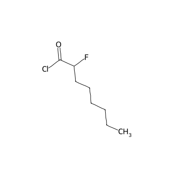 CCCCCCC(F)C(=O)Cl